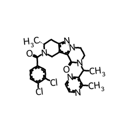 Cc1nccnc1C(C)N1CCn2nc3c(c2C1=O)CN(C(=O)c1ccc(Cl)c(Cl)c1)[C@H](C)C3